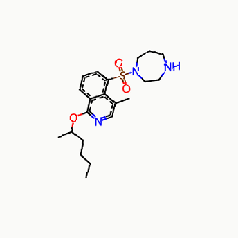 CCCCC(C)Oc1ncc(C)c2c(S(=O)(=O)N3CCCNCC3)cccc12